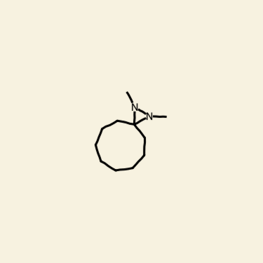 CN1N(C)C12CCCCCCCC2